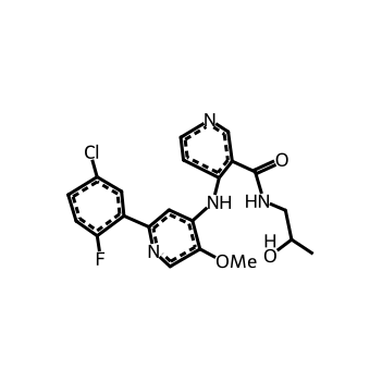 COc1cnc(-c2cc(Cl)ccc2F)cc1Nc1ccncc1C(=O)NCC(C)O